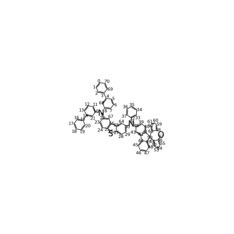 c1ccc(-c2cccc(N(c3cccc(-c4ccccc4)c3)c3ccc4sc5ccc(N(c6ccccc6)c6ccc7c(c6)-c6ccccc6C76c7ccccc7Oc7ccccc76)cc5c4c3)c2)cc1